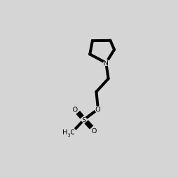 CS(=O)(=O)OCCN1CCCC1